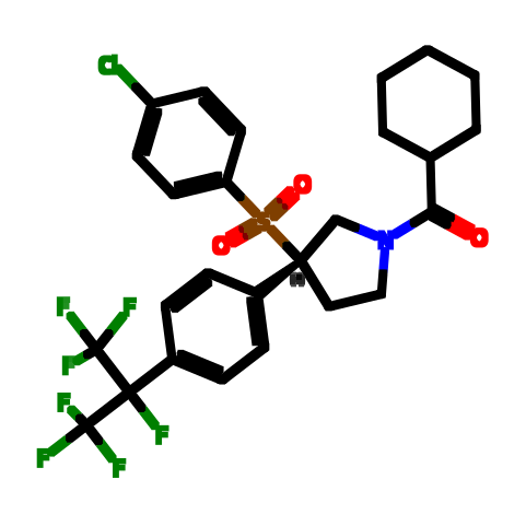 O=C(C1CCCCC1)N1CC[C@](c2ccc(C(F)(C(F)(F)F)C(F)(F)F)cc2)(S(=O)(=O)c2ccc(Cl)cc2)C1